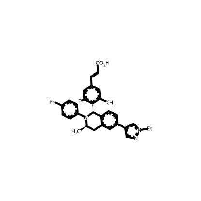 CCn1cc(-c2ccc3c(c2)C[C@@H](C)N(c2ccc(C(C)C)cc2)[C@@H]3c2c(C)cc(/C=C/C(=O)O)cc2F)cn1